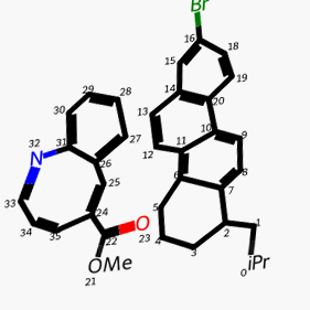 CC(C)CC1CCCc2c1ccc1c2ccc2cc(Br)ccc21.COC(=O)C1=Cc2ccccc2N=CC=C1